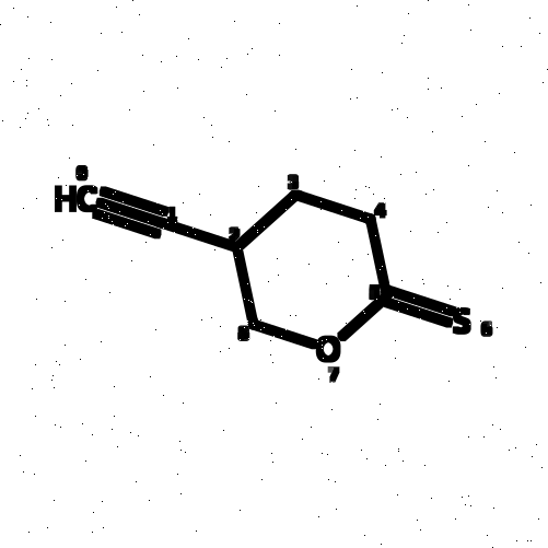 C#CC1CCC(=S)OC1